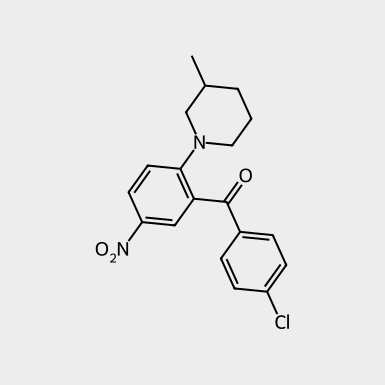 CC1CCCN(c2ccc([N+](=O)[O-])cc2C(=O)c2ccc(Cl)cc2)C1